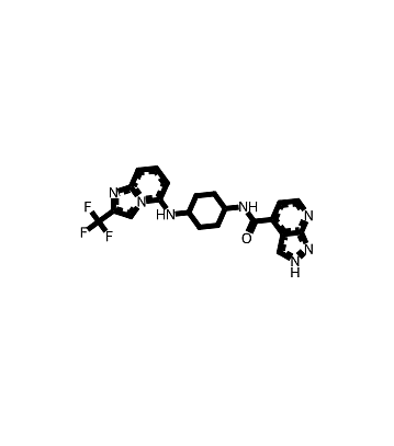 O=C(NC1CCC(Nc2cccc3nc(C(F)(F)F)cn23)CC1)c1ccnc2n[nH]cc12